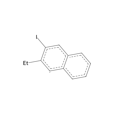 CCc1[c]c2ccccc2cc1I